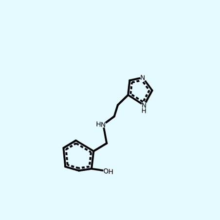 Oc1ccccc1CNCCc1cnc[nH]1